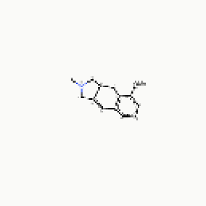 COc1cccc2c1CC1CN(C)CC1=C2